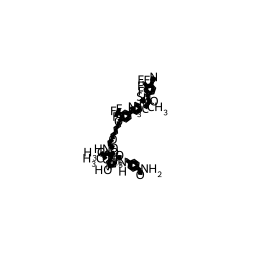 CC(C)(C)[C@H](NC(=O)COCCCCOc1ccc(-c2ccc(N3C(=S)N(c4ccc(C#N)c(C(F)(F)F)c4F)C(=O)C3(C)C)cn2)cc1C(F)(F)F)C(=O)N1C[C@H](O)C[C@H]1C(=O)NCc1ccc(C(N)=O)cc1